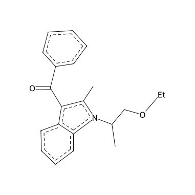 CCOCC(C)n1c(C)c(C(=O)c2ccccc2)c2ccccc21